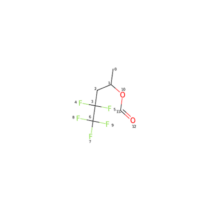 CC(CC(F)(F)C(F)(F)F)O[C]=O